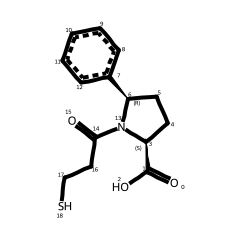 O=C(O)[C@@H]1CC[C@H](c2ccccc2)N1C(=O)CCS